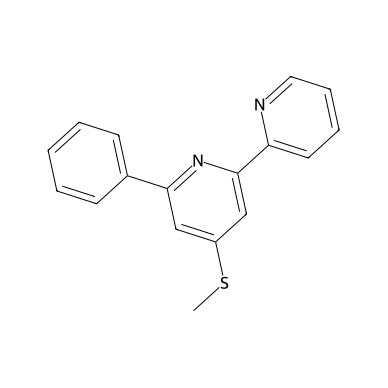 CSc1cc(-c2ccccc2)nc(-c2ccccn2)c1